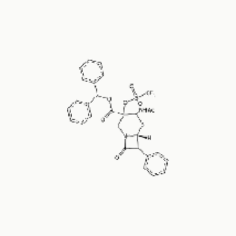 CC(=O)NC1S[C@@H]2C(c3ccccc3)C(=O)N2CC1(OS(=O)(=O)C(F)(F)F)C(=O)OC(c1ccccc1)c1ccccc1